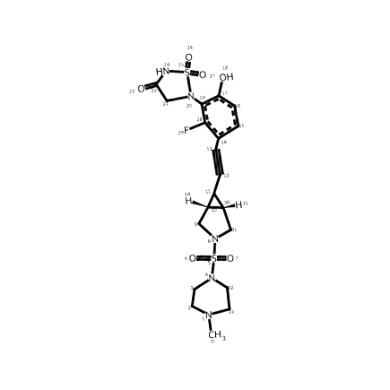 CN1CCN(S(=O)(=O)N2C[C@@H]3C(C#Cc4ccc(O)c(N5CC(=O)NS5(=O)=O)c4F)[C@@H]3C2)CC1